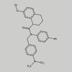 CCOc1ccc2c(c1)C(C(=O)N(Cc1ccc(N(C)C)cc1)c1ccc(C(C)C)cc1)CCC2